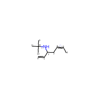 C=CC(C/C=C\C)NC(C)(C)C